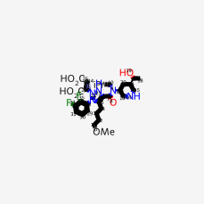 COCCCCC1=C(C(=O)N(CC(C)C)[C@@H]2CNC[C@H](C(C)O)C2)NN(/C(=C/C(=O)O)C(=O)O)N1c1cccc(F)c1F